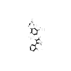 CCN(C)/C=N\c1cc(C)c(Oc2snc(-c3ccccc3C)c2C#N)cc1C